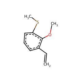 C=Cc1cccc(SC)c1OC